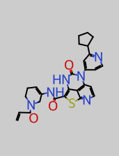 C=CC(=O)N1CCC=C(NC(=O)c2sc3nccc4c3c2NC(=O)N4c2ccnc(C3CCCC3)c2)C1